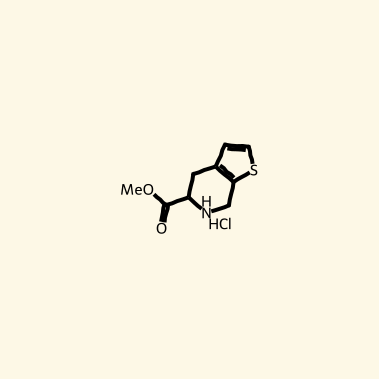 COC(=O)C1Cc2ccsc2CN1.Cl